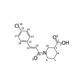 O=C(O)C1CCCN(C(=O)C=Cc2ccc(Cl)cc2)C1